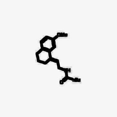 CCCCC(=O)NCC=C1CCCc2ccc(OC)cc21